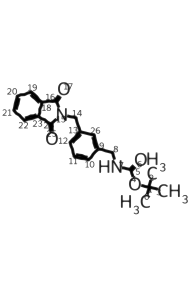 CC(C)(C)OC(=O)NCc1cccc(CN2C(=O)c3ccccc3C2=O)c1